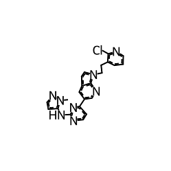 Cn1nccc1Nc1nccc(-c2cnc3c(ccn3CCc3cccnc3Cl)c2)n1